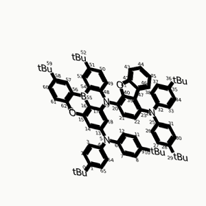 CC(C)(C)c1ccc(N(c2ccc(C(C)(C)C)cc2)c2cc3c4c(c2)N(c2ccc(N(c5ccc(C(C)(C)C)cc5)c5ccc(C(C)(C)C)cc5)c5c2oc2ccccc25)c2ccc(C(C)(C)C)cc2B4c2cc(C(C)(C)C)ccc2O3)cc1